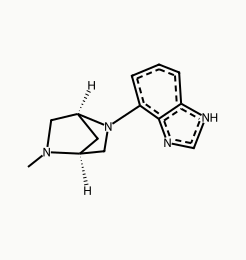 CN1C[C@@H]2C[C@H]1CN2c1cccc2[nH]cnc12